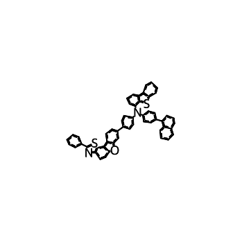 c1ccc(-c2nc3ccc4oc5cc(-c6ccc(N(c7ccc(-c8cccc9ccccc89)cc7)c7cccc8c7sc7ccccc78)cc6)ccc5c4c3s2)cc1